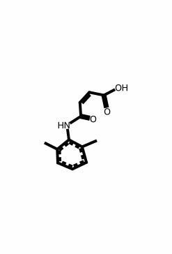 Cc1cccc(C)c1NC(=O)/C=C\C(=O)O